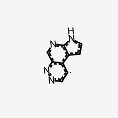 [c]1cnnc2cnc3[nH]ccc3c12